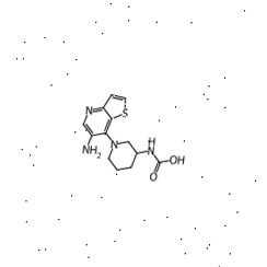 Nc1cnc2ccsc2c1N1CCCC(NC(=O)O)C1